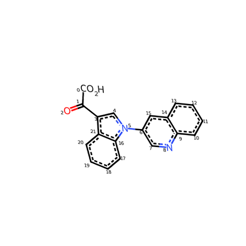 O=C(O)C(=O)c1cn(-c2cnc3ccccc3c2)c2ccccc12